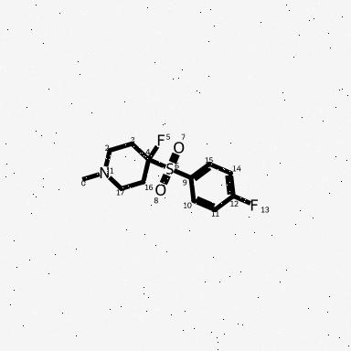 CN1CCC(F)(S(=O)(=O)c2ccc(F)cc2)CC1